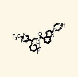 O=C(NCC(c1cnc(C(F)(F)F)nc1)N1CCCC(F)(F)C1)c1cccc2nc(N3CCNCC3)ccc12